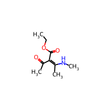 CCOC(=O)C(C(C)=O)=C(C)NC